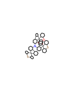 c1ccc2c(c1)Oc1ccccc1C21c2ccccc2-c2ccc(N(c3cccc4c3-c3ccccc3C43c4ccccc4Sc4ccccc43)c3cccc4c3-c3ccccc3C43c4ccccc4Sc4ccccc43)cc21